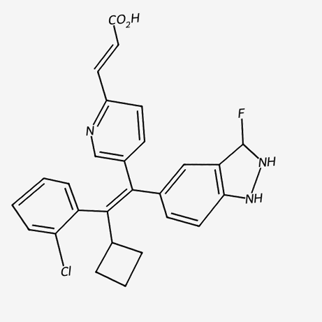 O=C(O)/C=C/c1ccc(/C(=C(\c2ccccc2Cl)C2CCC2)c2ccc3c(c2)C(F)NN3)cn1